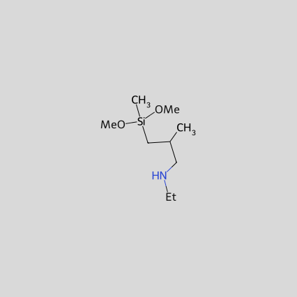 CCNCC(C)C[Si](C)(OC)OC